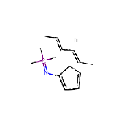 CC=CC=CC.CP(C)(C)=NC1=CC=CC1.[Ti]